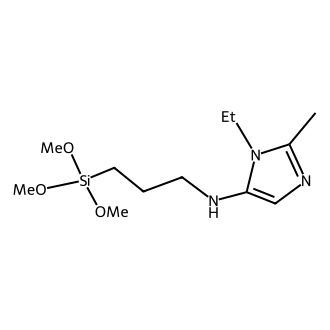 CCn1c(NCCC[Si](OC)(OC)OC)cnc1C